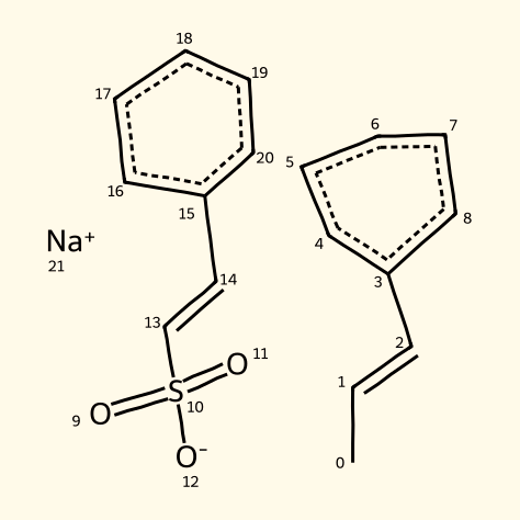 CC=Cc1ccccc1.O=S(=O)([O-])C=Cc1ccccc1.[Na+]